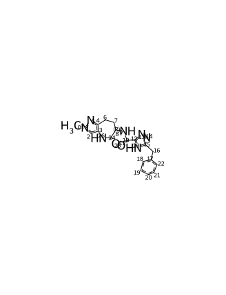 Cn1cc2c(n1)CC[C@@H](NC(=O)c1nnc(Cc3ccccc3)[nH]1)C(=O)N2